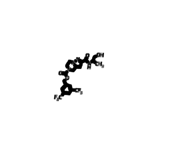 CC(CO)NC(=O)c1cc2n(n1)CCN(C(=O)OCc1cc(C(F)(F)F)cc(C(F)(F)F)c1)C2